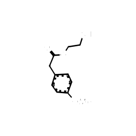 COc1ccc(CC(=O)OCCS)cc1